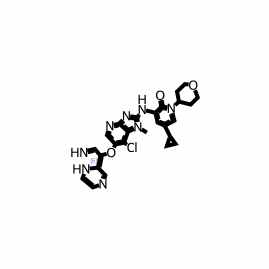 Cn1c(Nc2cc(C3CC3)cn(C3CCOCC3)c2=O)nc2ncc(O/C(C=N)=C3\C=NC=CN3)c(Cl)c21